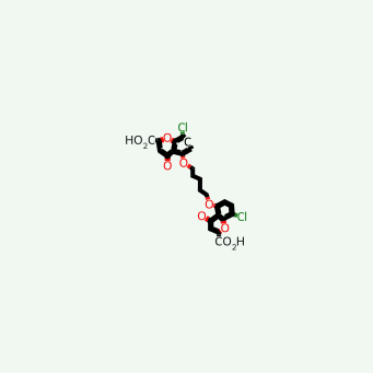 O=C(O)c1cc(=O)c2c(OCCCCCOc3ccc(Cl)c4oc(C(=O)O)cc(=O)c34)ccc(Cl)c2o1